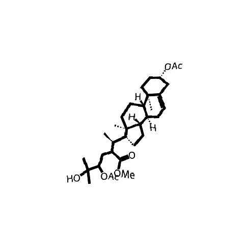 COC(=O)C(CC(OC(C)=O)C(C)(C)O)[C@@H](C)[C@H]1CC[C@H]2[C@@H]3CC=C4C[C@@H](OC(C)=O)CC[C@]4(C)[C@H]3CC[C@]12C